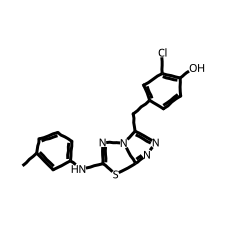 Cc1cccc(Nc2nn3c(Cc4ccc(O)c(Cl)c4)nnc3s2)c1